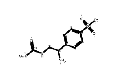 CCS(=O)(=O)c1ccc(C(N)CNC(=O)NC)cc1